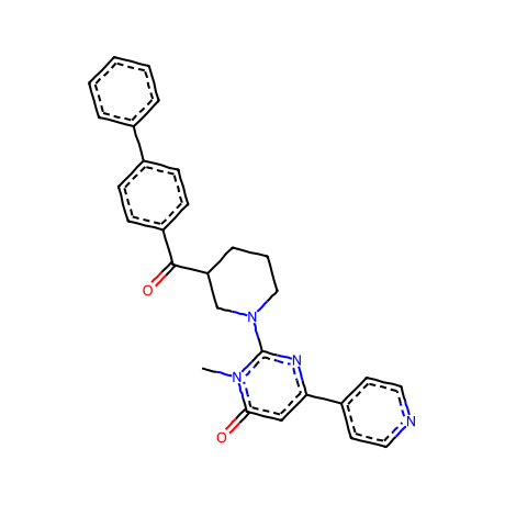 Cn1c(N2CCCC(C(=O)c3ccc(-c4ccccc4)cc3)C2)nc(-c2ccncc2)cc1=O